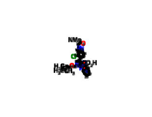 CNC(=O)Cn1cc2c(Cl)c(-c3cn(COCC[Si](C)(C)C)c4nc(N5C6CCC5CC(NC(=O)O)C6)cnc34)ccc2n1